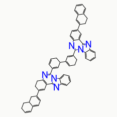 C1=CC2=CC=C(C3=Cc4c(nc(C5=CC(C6=CCCC(c7nc8ccc(C9=Cc%10ccccc%10CC9)cc8c8nc9ccccc9n78)=C6)CC=C5)n5c4nc4ccccc45)CC3)CC2CC1